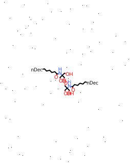 CCCCCCCCCCCCCCCC(=O)NC(CO)(CO)COOCC(CO)(CO)NC(=O)CCCCCCCCCCCCCCC